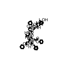 CC(C)[C@H](NC(=O)[C@H](CCC(=O)OC1CCCCC1)NC(=O)[C@H](CC(=O)OC1CCCCC1)NC(=O)OCc1ccccc1)C(=O)N[C@@H](CC(=O)OC1CCCCC1)C(=O)NCC(=O)N[C@@H](Cc1ccc(O)c(I)c1)C(N)=O